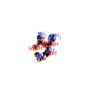 CC(C)(C)OC(=O)N1CSC[C@H]1C(=O)NCCCC[C@H](NC(O)OC(C)(C)C)C(=O)O[C@@H]1C(COP(=O)(O)O[C@H]2C[C@H](n3ccc(N)nc3=O)O[C@@H]2COP(=O)(O)O)OC(n2cnc3c(N)ncnc32)[C@@H]1O